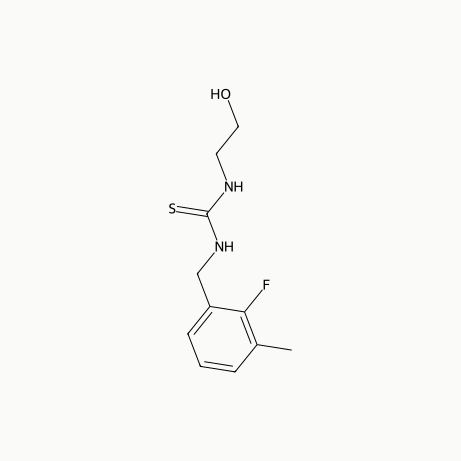 Cc1cccc(CNC(=S)NCCO)c1F